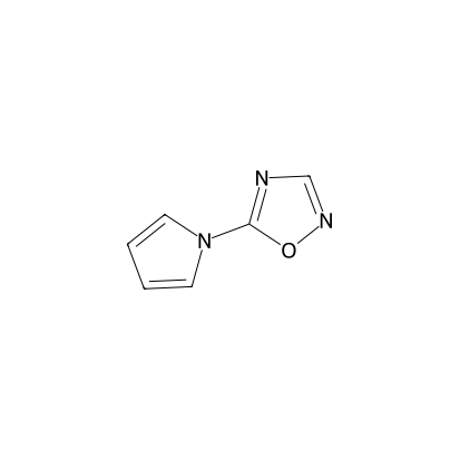 c1ccn(-c2ncno2)c1